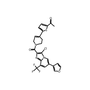 CC(=O)c1ccc(C2=CCN(C(=O)c3nc4c(C(F)(F)F)cc(-c5ccoc5)cn4c3Cl)CC2)s1